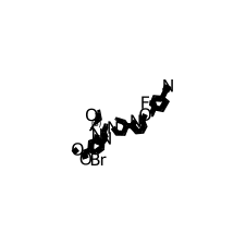 COC(=O)c1cc2c(cc1Br)nc(CN1CCC(c3cccc(OCc4ccc(C#N)cc4F)n3)CC1)n2C[C@@H]1CCO1